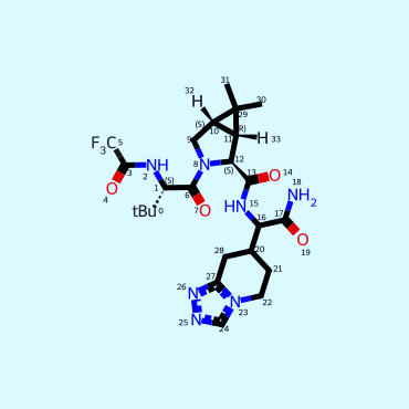 CC(C)(C)[C@H](NC(=O)C(F)(F)F)C(=O)N1C[C@H]2[C@@H]([C@H]1C(=O)NC(C(N)=O)C1CCn3cnnc3C1)C2(C)C